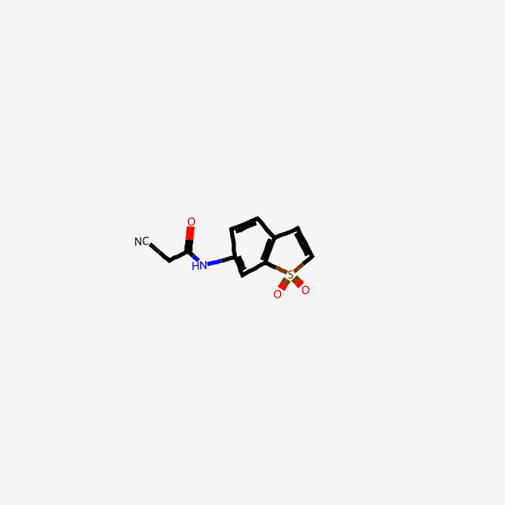 N#CCC(=O)Nc1ccc2c(c1)S(=O)(=O)C=C2